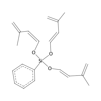 C=C(C)C=CO[Si](OC=CC(=C)C)(OC=CC(=C)C)c1ccccc1